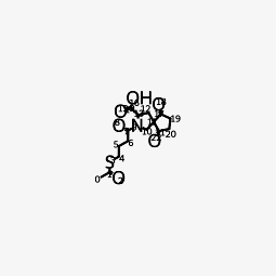 CC(=O)SCCCC(=O)N1CC2(CC1C(=O)O)C(=O)CCC2=O